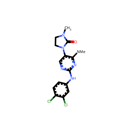 CNc1nc(Nc2ccc(Cl)c(Cl)c2)ncc1N1CCN(C)C1=O